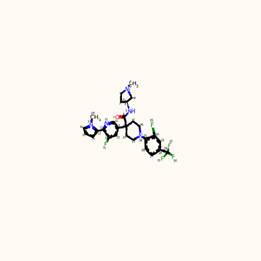 CN1CC[C@H](NC(=O)C2(c3cnc(-c4cccn4C)c(F)c3)CCN(c3ccc(C(F)(F)F)cc3F)CC2)C1